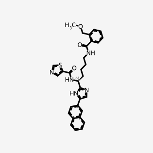 COCc1ccccc1C(=O)NCCCC[C@H](NC(=O)c1cncs1)c1ncc(-c2ccc3ccccc3c2)[nH]1